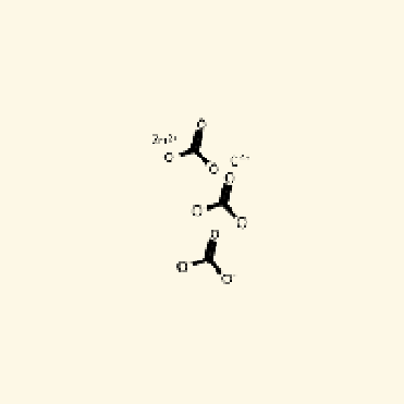 O=C([O-])[O-].O=C([O-])[O-].O=C([O-])[O-].[C+4].[Zn+2]